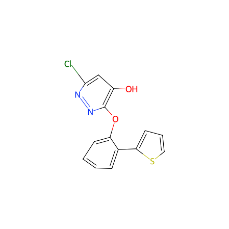 Oc1cc(Cl)nnc1Oc1ccccc1-c1cccs1